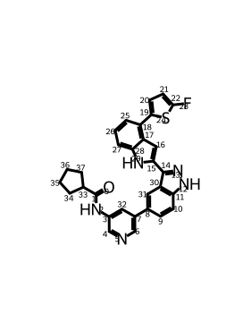 O=C(Nc1cncc(-c2ccc3[nH]nc(-c4cc5c(-c6ccc(F)s6)cccc5[nH]4)c3c2)c1)C1CCCC1